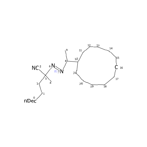 CCCCCCCCCCCCC(C)(C#N)/N=N/C(C)C1CCCCCCCCCCC1